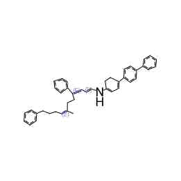 C/C(=C/CCCc1ccccc1)CC/C(=C\C=C\NC1=CC=C(c2ccc(-c3ccccc3)cc2)CC1)c1ccccc1